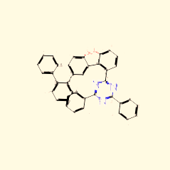 c1ccc(-c2nc(-c3ccccc3)nc(-c3cccc4oc5ccc(-c6ccccc6-c6ccccc6)cc5c34)n2)cc1